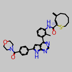 C=C1/C=C(/C(=O)Nc2cccc(-c3ncnc4[nH]c(-c5ccc(C(=O)N6CCOCC6)cc5)cc34)c2C)SCCCCC1